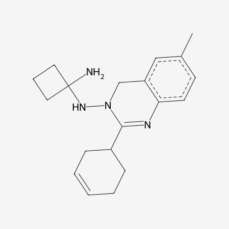 Cc1ccc2c(c1)CN(NC1(N)CCC1)C(C1CC=CCC1)=N2